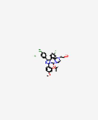 COc1ccc(C2=NC(c3ccc(Cl)cc3)C(c3ccc(Cl)cc3)N2C(=O)N2CCN(CCO)CC2)c(OC(C)C)c1.Cl